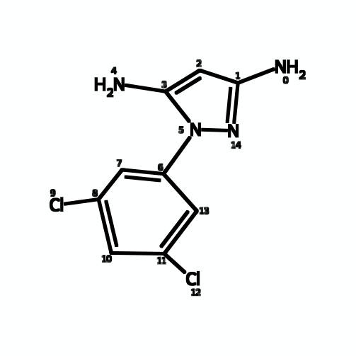 Nc1cc(N)n(-c2cc(Cl)cc(Cl)c2)n1